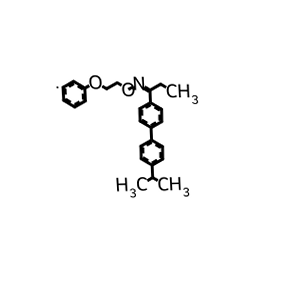 CCC(=NOCCOc1c[c]ccc1)c1ccc(-c2ccc(C(C)C)cc2)cc1